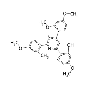 COc1ccc(-c2nc(-c3ccc(OC)cc3O)nc(-c3ccc(OC)cc3OC)n2)c(C)c1